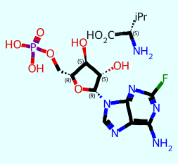 CC(C)[C@H](N)C(=O)O.Nc1nc(F)nc2c1ncn2[C@@H]1O[C@H](COP(=O)(O)O)[C@@H](O)[C@@H]1O